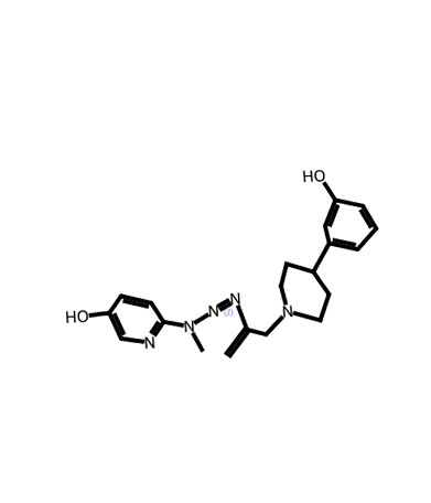 C=C(CN1CCC(c2cccc(O)c2)CC1)/N=N\N(C)c1ccc(O)cn1